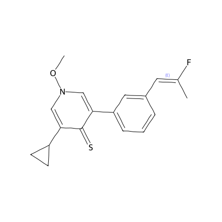 COn1cc(-c2cccc(/C=C(\C)F)c2)c(=S)c(C2CC2)c1